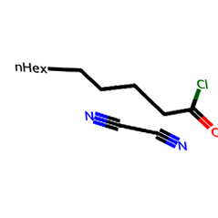 CCCCCCCCCCC(=O)Cl.N#CC#N